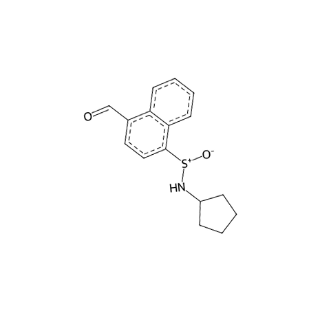 O=Cc1ccc([S+]([O-])NC2CCCC2)c2ccccc12